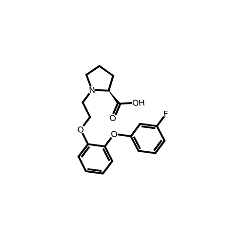 O=C(O)[C@@H]1CCCN1CCOc1ccccc1Oc1cccc(F)c1